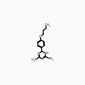 CCCCOc1ccc(C2N=C(N)N=C(N)N2)cc1